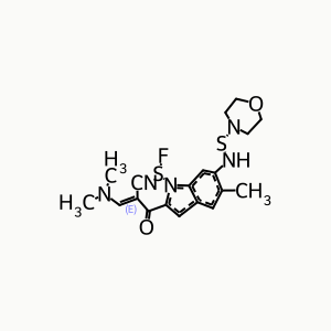 Cc1cc2cc(C(=O)/C(C#N)=C/N(C)C)n(SF)c2cc1NSN1CCOCC1